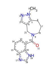 Cn1ncc2c1CCCN(C(=O)c1cccc3nc[nH]c13)C2